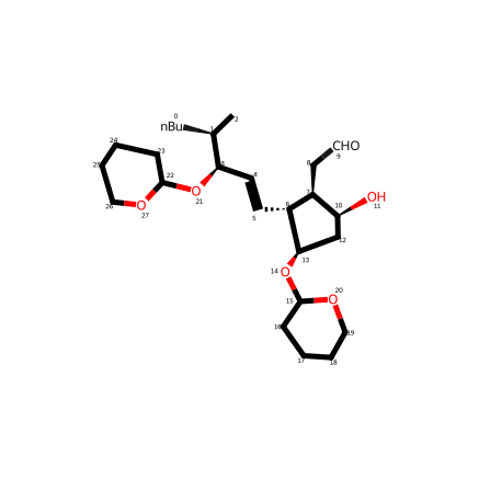 CCCC[C@@H](C)[C@@H](C=C[C@@H]1[C@@H](CC=O)[C@@H](O)C[C@H]1OC1CCCCO1)OC1CCCCO1